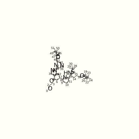 COCCOc1cc(-c2cccc([C@H](CCCO[Si](C)(C)C(C)(C)C)NSC(C)(C)C)n2)cc2c1cnn2-c1cncc(CO[Si](C)(C)C(C)(C)C)n1